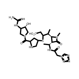 CC(NC(=O)Cn1cnnn1)[C@H]1C(=O)N(C)[C@@H]1C(C)C(CC(=O)O)SC1CNC(C(=O)N2CC(NC(=N)N)[C@H](O)C2)C1